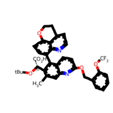 Cc1cc2nc(OCc3ccccc3OC(F)(F)F)ccc2c(-c2ccc3c4c(ccnc24)CCO3)c1[C@H](OC(C)(C)C)C(=O)O